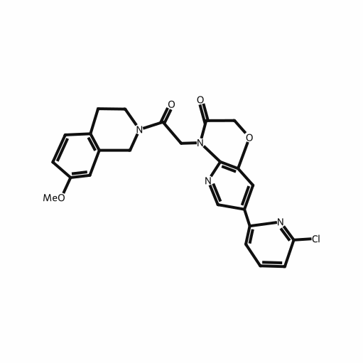 COc1ccc2c(c1)CN(C(=O)CN1C(=O)COc3cc(-c4cccc(Cl)n4)cnc31)CC2